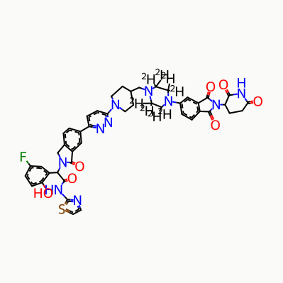 [2H]C1([2H])N(CC2CCN(c3ccc(-c4ccc5c(c4)C(=O)N(C(C(=O)Nc4nccs4)c4cc(F)ccc4O)C5)nn3)CC2)C([2H])([2H])C([2H])([2H])N(c2ccc3c(c2)C(=O)N(C2CCC(=O)NC2=O)C3=O)C1([2H])[2H]